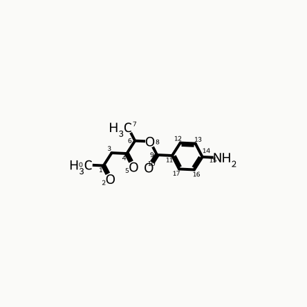 CC(=O)CC(=O)C(C)OC(=O)c1ccc(N)cc1